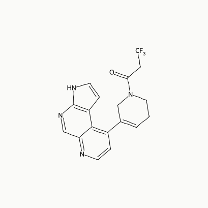 O=C(CC(F)(F)F)N1CCC=C(c2ccnc3cnc4[nH]ccc4c23)C1